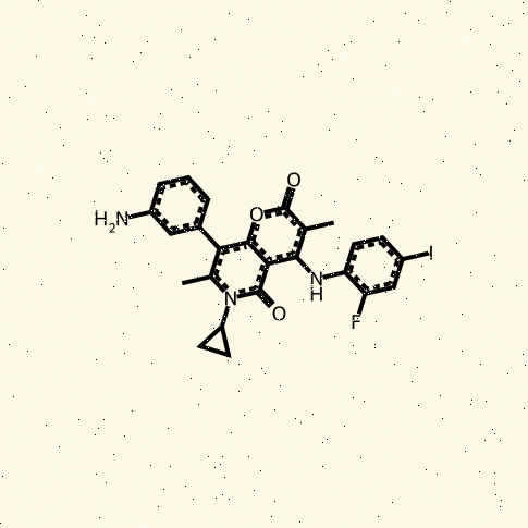 Cc1c(Nc2ccc(I)cc2F)c2c(=O)n(C3CC3)c(C)c(-c3cccc(N)c3)c2oc1=O